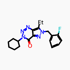 CCc1c2nnn(C3CCCCC3)c(=O)c2nn1Cc1ccccc1F